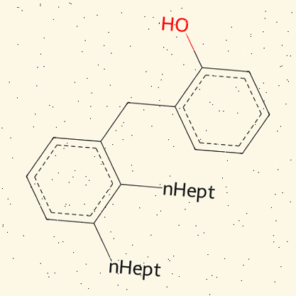 CCCCCCCc1cccc(Cc2ccccc2O)c1CCCCCCC